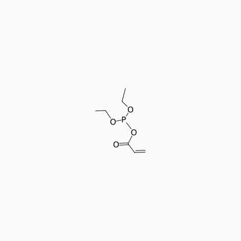 C=CC(=O)OP(OCC)OCC